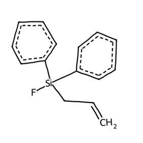 C=CC[Si](F)(c1ccccc1)c1ccccc1